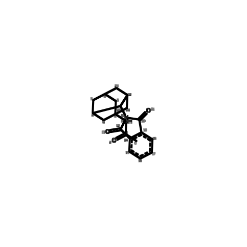 CC(=O)NC12CC3CC(C1)C(N1C(=O)c4ccccc4C1=O)C(C3)C2